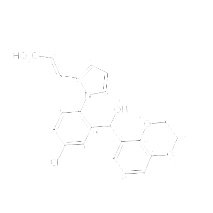 O=C(O)/C=C/c1cccn1-c1ccc(Cl)cc1C(O)c1cccc2c1OCCO2